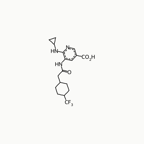 O=C(CC1CCC(C(F)(F)F)CC1)Nc1cc(C(=O)O)cnc1NC1CC1